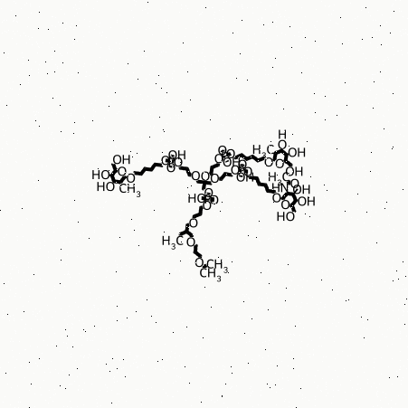 CCC(COCCCOC(C)C)COCCCOP(=O)(O)OCC(COCCCOP(=O)(O)OCCCCCCO[C@@H]1OC(CO)[C@H](O)[C@H](O)C1C)(COCCCOP(=O)(O)OCCCCCCO[C@@H]1OC(CO)[C@H](O)[C@H](O)C1NC(C)=O)OCCCOP(=O)(O)OCCCCCCO[C@@H]1OC(CO)[C@H](O)[C@H](O)C1C